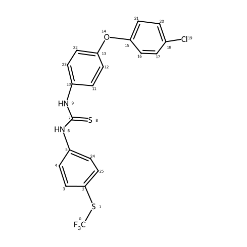 FC(F)(F)Sc1ccc(NC(=S)Nc2ccc(Oc3ccc(Cl)cc3)cc2)cc1